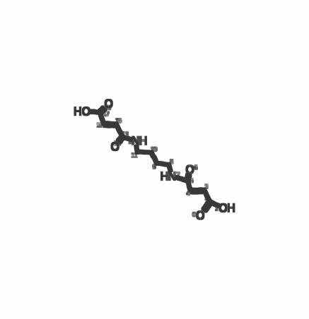 O=C(O)C=CC(=O)NCCCCNC(=O)C=CC(=O)O